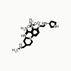 CNCC1CCN(c2ccc([S+]([O-])CN[C@@H]3CCNC3)c(S(N)(=O)=O)c2C(=N)N)CC1